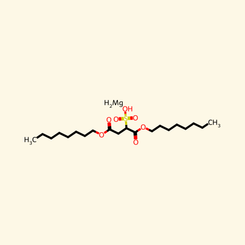 CCCCCCCCOC(=O)CC(C(=O)OCCCCCCCC)S(=O)(=O)O.[MgH2]